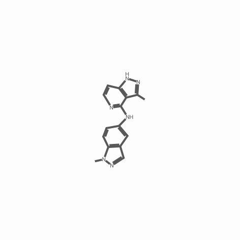 Cc1n[nH]c2ccnc(Nc3ccc4c(cnn4C)c3)c12